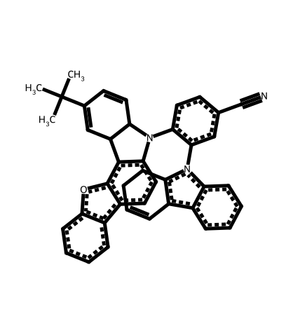 CC(C)(C)C1=CC2c3c(ccc4c3oc3ccccc34)N(c3ccc(C#N)cc3-n3c4c(c5ccccc53)C=CCC4)C2C=C1